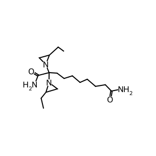 CCC1CN1C(CCCCCCCC(N)=O)(C(N)=O)N1CC1CC